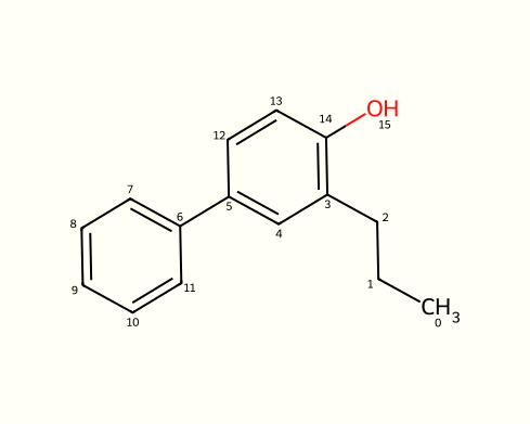 CCCc1cc(-c2ccccc2)ccc1O